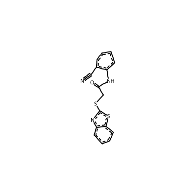 N#Cc1ccccc1NC(=O)CSc1nc2ccccc2s1